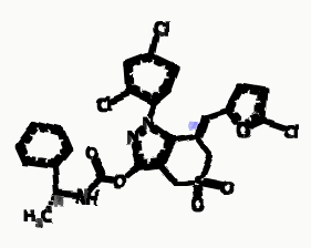 C[C@@H](NC(=O)Oc1nn(-c2ccc(Cl)cc2Cl)c2c1CS(=O)(=O)C/C2=C\c1ccc(Cl)o1)c1ccccc1